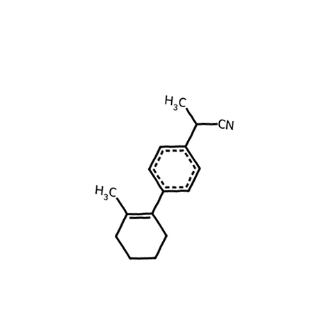 CC1=C(c2ccc(C(C)C#N)cc2)CCCC1